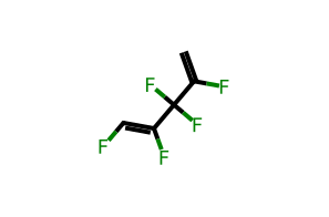 C=C(F)C(F)(F)C(F)=CF